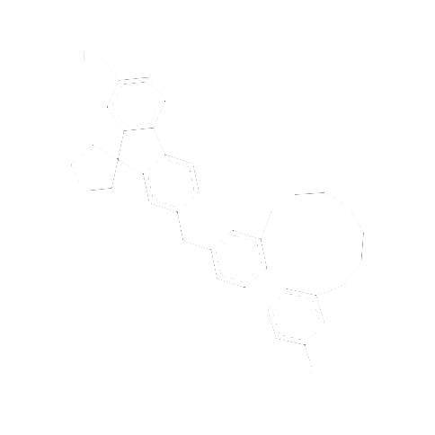 Cc1ccc2c(c1)CCCCCCCc1cc(Cc3ccc4c(c3)C3(CCOC3)c3cc(C)ccc3-4)ccc1-2